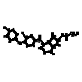 Cc1ccc(Oc2ccc(Nc3ncnc4cc(CNC(=O)O)[nH]c34)cc2C)cn1